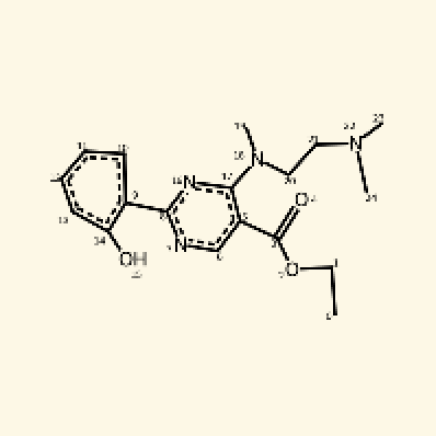 CCOC(=O)c1cnc(-c2ccccc2O)nc1N(C)CCN(C)C